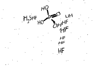 F.F.F.F.F.F.O=P(O)(O)O.S.[LiH]